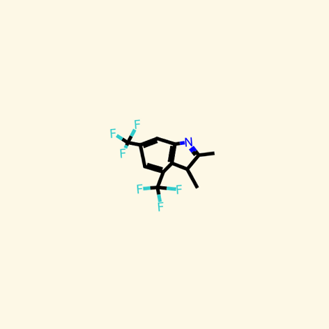 CC1=Nc2cc(C(F)(F)F)cc(C(F)(F)F)c2C1C